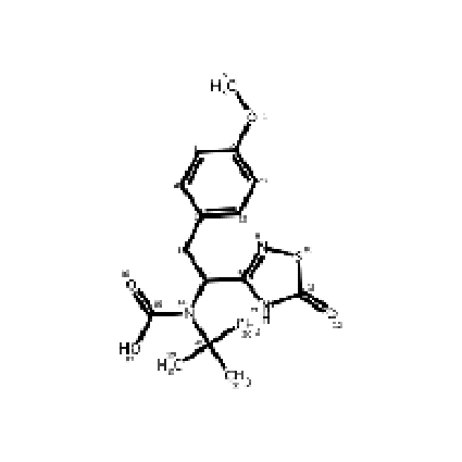 COc1ccc(CC(c2nsc(=O)[nH]2)N(C(=O)O)C(C)(C)C)cc1